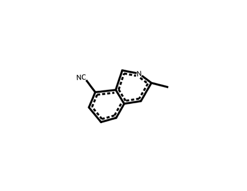 Cc1cc2cccc(C#N)c2cn1